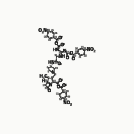 C[C@H]1C(CN2CC[C@H](NC(=O)CN/C(=N\C(=O)OC(=O)c3ccc([N+](=O)[O-])cc3)NC(=O)OC(=O)c3ccc([N+](=O)[O-])cc3)C2)=C(C(=O)OC(=O)c2ccc([N+](=O)[O-])cc2)N2C(=O)C[C@@H]12